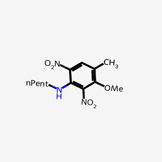 CCCCCNc1c([N+](=O)[O-])cc(C)c(OC)c1[N+](=O)[O-]